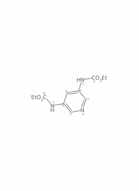 CCOC(=O)Nc1cncc(NC(=O)OCC)c1